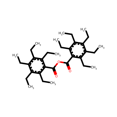 CCc1c(CC)c(CC)c(C(=O)OC(=O)c2c(CC)c(CC)c(CC)c(CC)c2CC)c(CC)c1CC